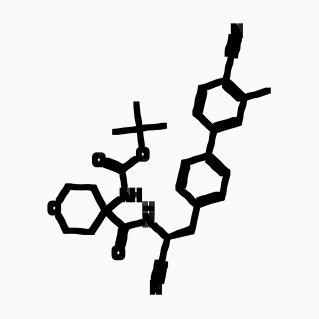 Cc1cc(-c2ccc(C[C@@H](C#N)NC(=O)C3(NC(=O)OC(C)(C)C)CCOCC3)cc2)ccc1C#N